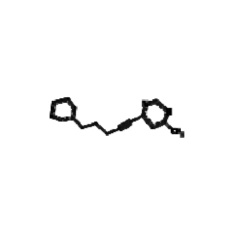 Cc1cc(C#CCCCc2ccccc2)ncn1